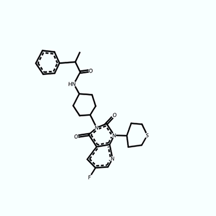 CC(C(=O)NC1CCC(n2c(=O)c3cc(F)cnc3n(C3CCSCC3)c2=O)CC1)c1ccccc1